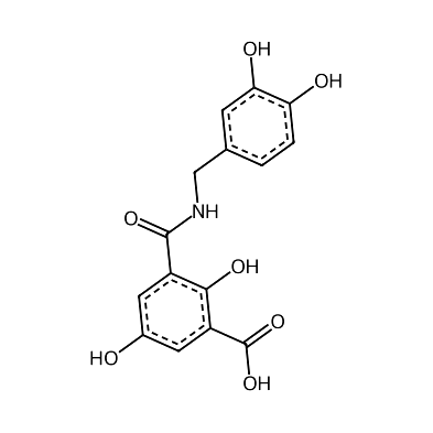 O=C(O)c1cc(O)cc(C(=O)NCc2ccc(O)c(O)c2)c1O